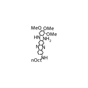 CCCCCCCCNc1ccc2nc3cc(Nc4cc(OC)c(OC)c(OC)c4)c(N)cc3nc2c1